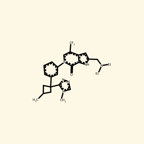 CCN(CC)Cc1cc2c(C(F)(F)F)cn(-c3cccc(C4(c5nncn5C)CC(C)C4)c3)c(=O)c2[nH]1